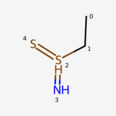 CC[SH](=N)=S